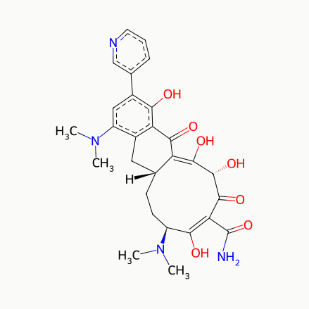 CN(C)c1cc(-c2cccnc2)c(O)c2c1C[C@H]1CC[C@H](N(C)C)/C(O)=C(/C(N)=O)C(=O)[C@@H](O)/C(O)=C\1C2=O